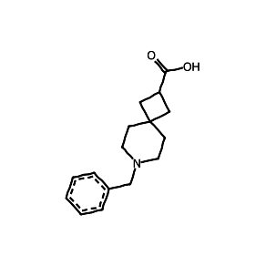 O=C(O)C1CC2(CCN(Cc3ccccc3)CC2)C1